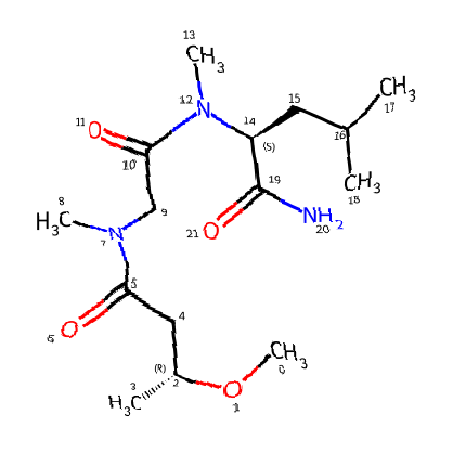 CO[C@H](C)CC(=O)N(C)CC(=O)N(C)[C@@H](CC(C)C)C(N)=O